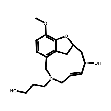 COc1ccc2c3c1OC(C3)C[C@@H](O)/C=C/CN(CCCO)C2